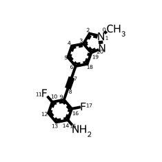 Cn1cc2ccc(C#Cc3c(F)ccc(N)c3F)cc2n1